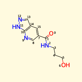 O=C(NCCCO)c1cnc2[nH]ncc2c1